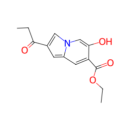 CCOC(=O)c1cc2cc(C(=O)CC)cn2cc1O